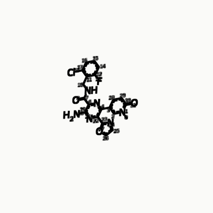 Cn1cc(-c2nc(C(=O)NCc3c(F)cccc3Cl)c(N)nc2-c2ncco2)ccc1=O